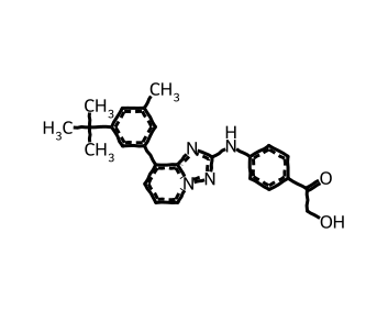 Cc1cc(-c2cccn3nc(Nc4ccc(C(=O)CO)cc4)nc23)cc(C(C)(C)C)c1